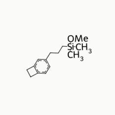 CO[Si](C)(C)CCCc1ccc2c(c1)CC2